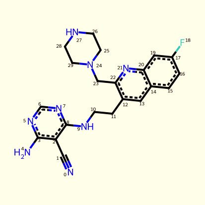 N#Cc1c(N)ncnc1NCCc1cc2ccc(F)cc2nc1CN1CCNCC1